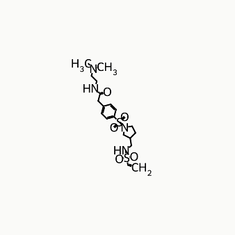 C=CS(=O)(=O)NCC1CCN(S(=O)(=O)c2ccc(CC(=O)NCCN(C)C)cc2)C1